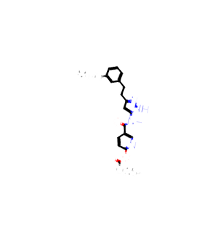 COC(=O)Oc1ccc(C(=O)Nc2cc(CCc3cccc(OC)c3)n[nH]2)cn1